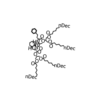 CCCCCCCCCCCCCCCC(=O)OCC(COC(=O)CCCCCCCCCCCCCCC)OC(=O)[C@H](CCc1ccccc1)NC(C)C(=O)N1[C@H](C(=O)OC(COC(=O)CCCCCCCCCCCCCCC)COC(=O)CCCCCCCCCCCCCCC)C[C@@H]2CCCC[C@@H]21